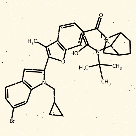 Cc1c(-c2cc3ccc(Br)cc3n2CC2CC2)oc2cc(C(=O)N3CC4CCC3[C@@H]4N(C(=O)O)C(C)(C)C)ccc12